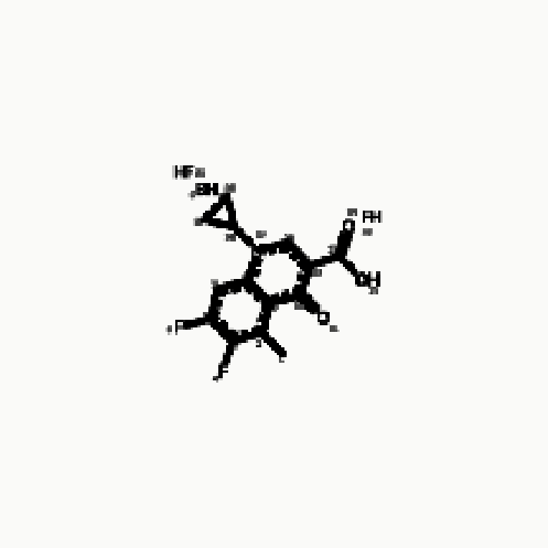 B.Cc1c(F)c(F)cc2c1c(=O)c(C(=O)O)cn2C1CC1.F.F